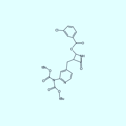 CC(C)(C)OC(=O)N(C(=O)OC(C)(C)C)c1cc(CC2C(=O)NC2OC(=O)c2cccc(Cl)c2)ccn1